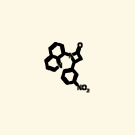 O=C1CC(c2cccc([N+](=O)[O-])c2)N1c1cccc2cccnc12